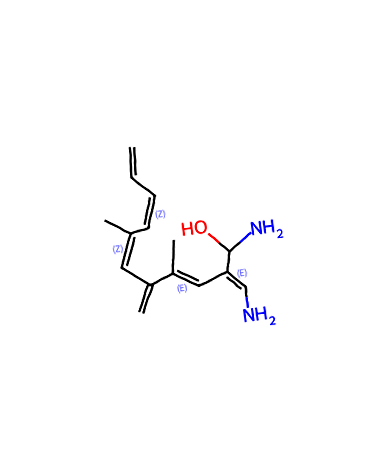 C=C/C=C\C(C)=C/C(=C)/C(C)=C/C(=C\N)C(N)O